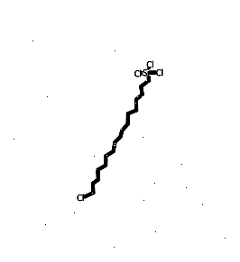 ClCCCCCCCCCCCCCCCCC[Si](Cl)(Cl)Cl